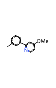 COc1ccnc(-c2cccc(C)c2)c1